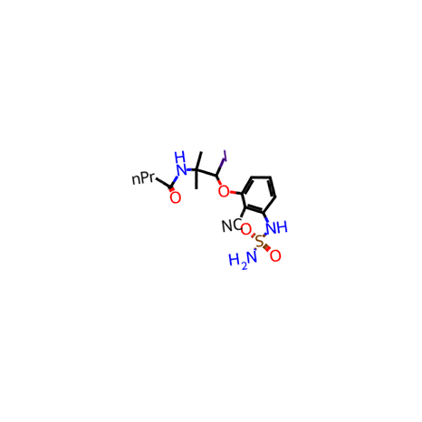 CCCC(=O)NC(C)(C)C(I)Oc1cccc(NS(N)(=O)=O)c1C#N